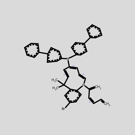 C=C/C=C\C(=C)N1/C=C/C=C(N(c2ccc(-c3ccccc3)cc2)c2ccc(-c3ccccc3)cc2)\C=C\C(C)(C)c2cc(Br)ccc21